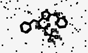 CC(C)(C)OC(=O)N[C@@H](Cc1ccccc1)c1csc(Nc2ncccn2)n1